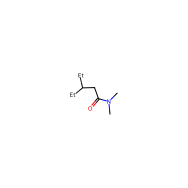 CCC(CC)CC(=O)N(C)C